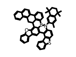 Cc1cc2c(cc1N1B3c4cccc5c4C(Cc4c-5ccc5ccccc45)c4c3c(cc3c4oc4ccccc43)-c3c1ccc1sc4ccccc4c31)C(C)(C)CCC2(C)C